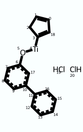 C1=CC[C]([Ti][O]c2cccc(-c3ccccc3)c2)=C1.Cl.Cl